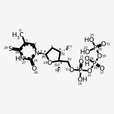 Cc1cn([C@H]2C[C@H](F)[C@@](F)(COP(=O)(O)OP(=O)(O)OP(=O)(O)O)O2)c(=O)[nH]c1=S